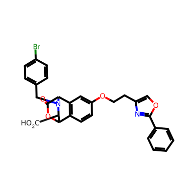 O=C1OC2c3ccc(OCCc4coc(-c5ccccc5)n4)cc3C1N(Cc1ccc(Br)cc1)C2C(=O)O